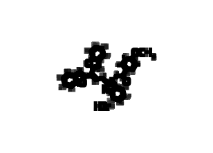 Br.COc1ccc(C(=O)Cn2c(CC=C(c3cc4ccccc4o3)c3cc4ccccc4o3)nc3ccccc32)cc1